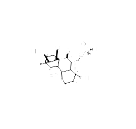 C=C1C(=O)[C@]23CC[C@H]1CC2[C@]1(CC)CCC[C@@](C)(CC)C1[C@H](COS(C)(=O)=O)C3=O